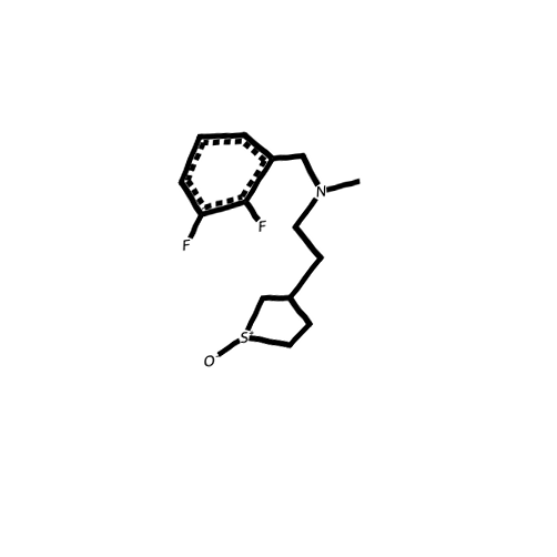 CN(CCC1CC[S+]([O-])C1)Cc1cccc(F)c1F